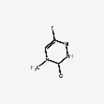 CN1C=C(F)NNC1Cl